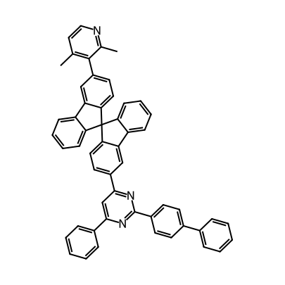 Cc1ccnc(C)c1-c1ccc2c(c1)-c1ccccc1C21c2ccccc2-c2cc(-c3cc(-c4ccccc4)nc(-c4ccc(-c5ccccc5)cc4)n3)ccc21